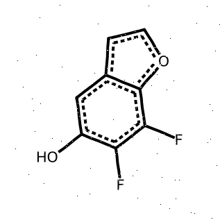 Oc1cc2ccoc2c(F)c1F